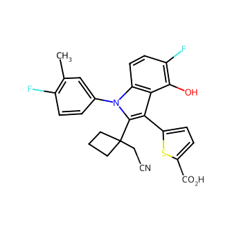 Cc1cc(-n2c(C3(CC#N)CCC3)c(-c3ccc(C(=O)O)s3)c3c(O)c(F)ccc32)ccc1F